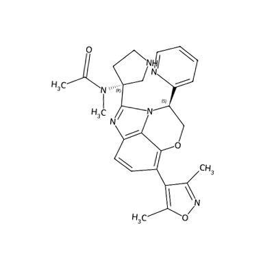 CC(=O)N(C)[C@]1(c2nc3ccc(-c4c(C)noc4C)c4c3n2[C@@H](c2ccccn2)CO4)CCNC1